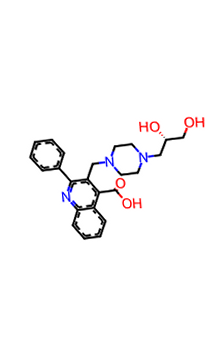 O=C(O)c1c(CN2CCN(C[C@H](O)CO)CC2)c(-c2ccccc2)nc2ccccc12